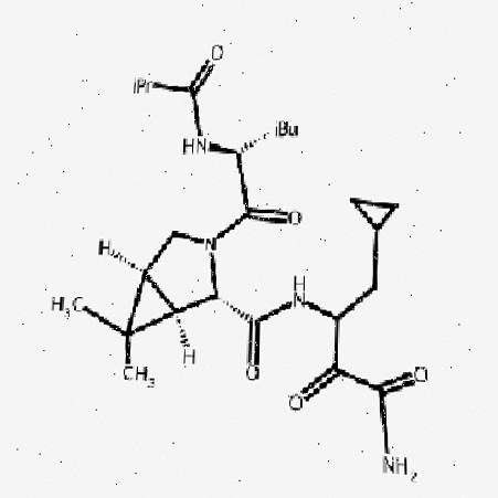 CC[C@@H](C)[C@H](NC(=O)C(C)C)C(=O)N1C[C@H]2[C@@H]([C@H]1C(=O)NC(CC1CC1)C(=O)C(N)=O)C2(C)C